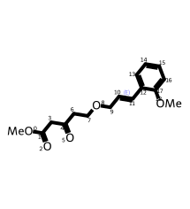 COC(=O)CC(=O)CCOC/C=C/c1ccccc1OC